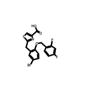 O=C(O)c1csc(Cc2cc(Br)ccc2OCc2ccc(F)cc2F)n1